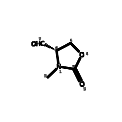 CN1C(=O)OC[C@H]1C=O